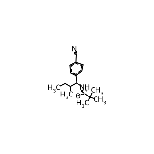 CCC(C)[C@H](N[S@+]([O-])C(C)(C)C)c1ccc(C#N)cc1